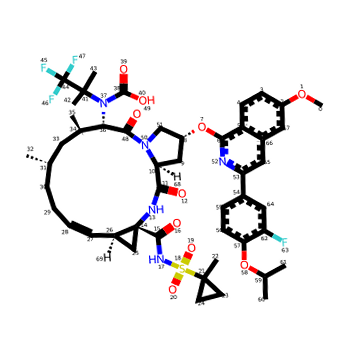 COc1ccc2c(O[C@@H]3C[C@H]4C(=O)N[C@]5(C(=O)NS(=O)(=O)C6(C)CC6)C[C@H]5/C=C\CC[C@H](C)C[C@@H](C)[C@H](N(C(=O)O)C(C)(C)C(F)(F)F)C(=O)N4C3)nc(-c3ccc(OC(C)C)c(F)c3)cc2c1